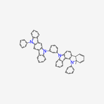 CC12C=CC=CC1c1ccc3c(c1N2c1ccccc1)c1ccccc1n3-c1cccc(-n2c3ccccc3c3cc4c(cc32)c2ccccc2n4-c2ccccc2)c1